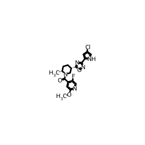 COc1cc(C(=O)N2C[C@@H](c3nc(-c4cc(Cl)c[nH]4)no3)CC[C@H]2C)c(F)cn1